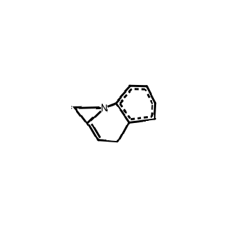 [C]1C2=CCc3ccccc3N12